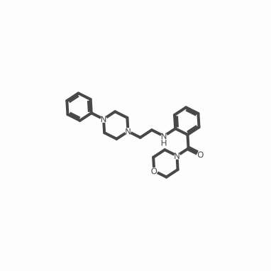 O=C(c1ccccc1NCCN1CCN(c2ccccc2)CC1)N1CCOCC1